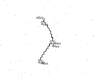 CCCCCCCCOC(CCCCCCCCCC=CC(OCCCCCC)OC(C=CCCCCCCCCCC(OCCCCCCCC)OCCCCCCCC)OCCCCCC)OCCCCCCCC